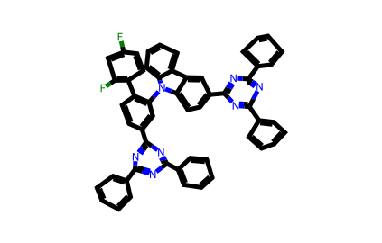 Fc1ccc(-c2ccc(-c3nc(-c4ccccc4)nc(-c4ccccc4)n3)cc2-n2c3ccccc3c3cc(-c4nc(-c5ccccc5)nc(-c5ccccc5)n4)ccc32)c(F)c1